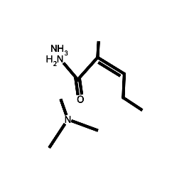 CCC=C(C)C(N)=O.CN(C)C.N